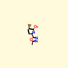 COc1nc(-c2nnc(C)o2)ccc1Br